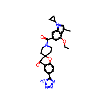 CCOc1cc(C(=O)N2CCC3(CC2)CC(=O)c2cc(-c4nnn[nH]4)ccc2O3)cc2c1c(C)cn2C1CC1